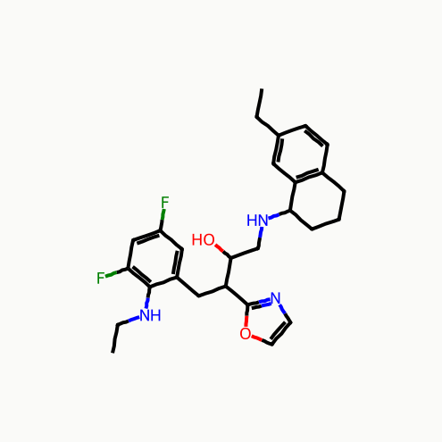 CCNc1c(F)cc(F)cc1CC(c1ncco1)C(O)CNC1CCCc2ccc(CC)cc21